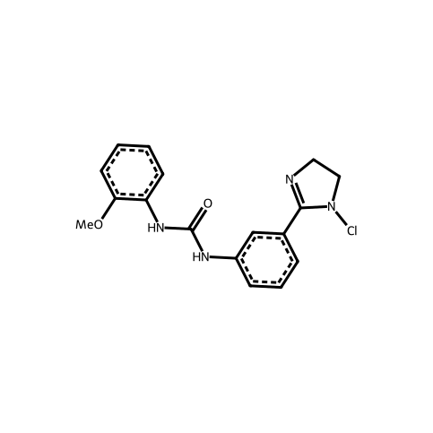 COc1ccccc1NC(=O)Nc1cccc(C2=NCCN2Cl)c1